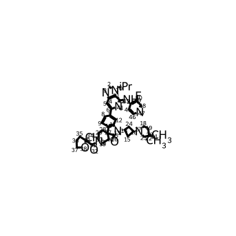 CC(C)n1cnc2cc(-c3ccc4c(c3)N([C@H]3C[C@@H](N5CCC(C)(C)C5)C3)C(=O)C43CCN(C(=O)[C@]4(C)CCCO4)CC3)nc(Nc3ccncc3F)c21